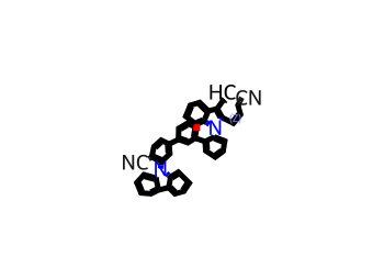 C#Cc1c(/C=C\CC#N)n(-c2ccccc2-c2cccc(-c3ccc(C#N)c(-n4c5ccccc5c5ccccc54)c3)c2)c2ccccc12